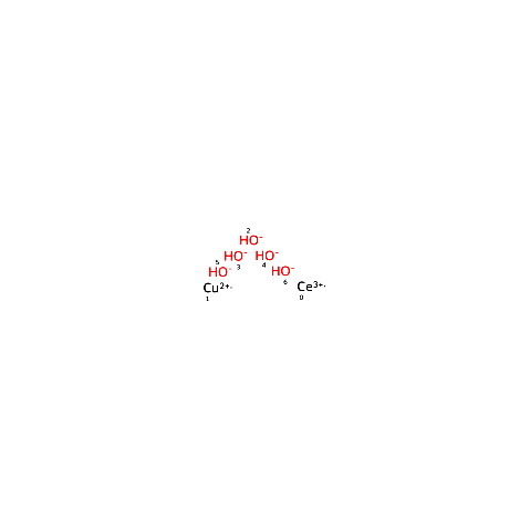 [Ce+3].[Cu+2].[OH-].[OH-].[OH-].[OH-].[OH-]